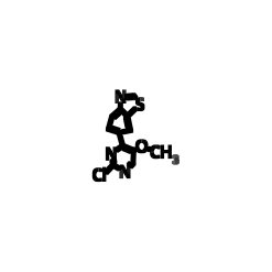 COc1cnc(Cl)nc1-c1ccc2ncsc2c1